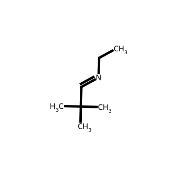 CC/N=C/C(C)(C)C